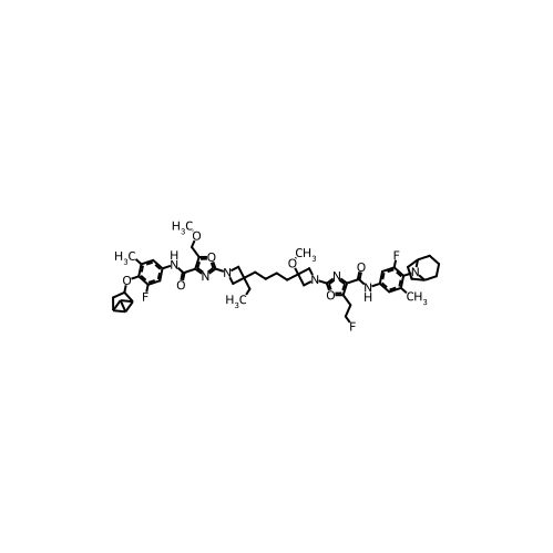 CCC1(CCCCC2(OC)CN(c3nc(C(=O)Nc4cc(C)c(N5C6CCCC5CC6)c(F)c4)c(CCF)o3)C2)CN(c2nc(C(=O)Nc3cc(C)c(OC4CC5C6C4C56)c(F)c3)c(COC)o2)C1